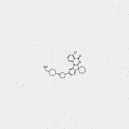 O=c1nc2n(c3cccc(Cl)c13)-c1cc(C3CCN(C4CCC(CO)CC4)C3)ccc1C21CCCCC1